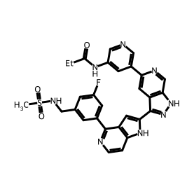 CCC(=O)Nc1cncc(-c2cc3c(-c4cc5c(-c6cc(F)cc(CNS(C)(=O)=O)c6)nccc5[nH]4)n[nH]c3cn2)c1